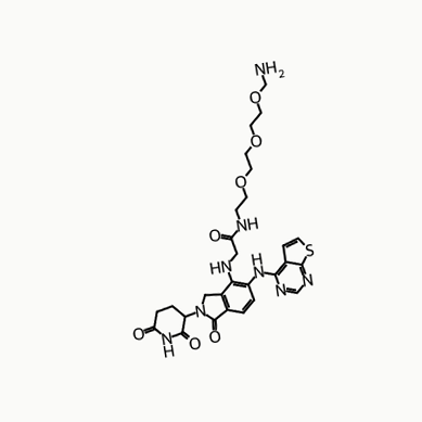 NCOCCOCCOCCNC(=O)CNc1c(Nc2ncnc3sccc23)ccc2c1CN(C1CCC(=O)NC1=O)C2=O